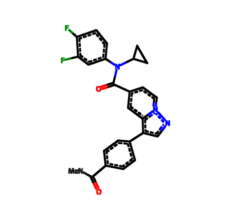 CNC(=O)c1ccc(-c2cnn3ccc(C(=O)N(c4ccc(F)c(F)c4)C4CC4)cc23)cc1